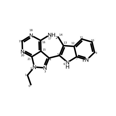 CCn1nc(-c2[nH]c3ncccc3c2C)c2c(N)ncnc21